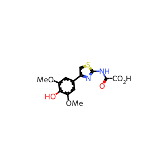 COc1cc(-c2csc(NC(=O)C(=O)O)n2)cc(OC)c1O